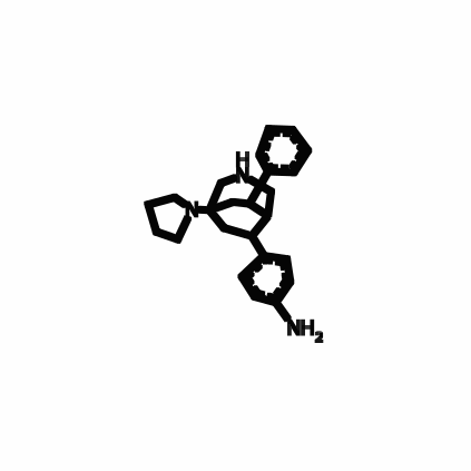 Nc1ccc(C2CC3(N4CCCC4)CNCC2C(c2ccccc2)C3)cc1